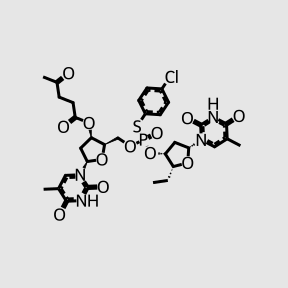 CC[C@H]1O[C@@H](n2cc(C)c(=O)[nH]c2=O)C[C@H]1OP(=O)(OC[C@H]1O[C@@H](n2cc(C)c(=O)[nH]c2=O)C[C@H]1OC(=O)CCC(C)=O)Sc1ccc(Cl)cc1